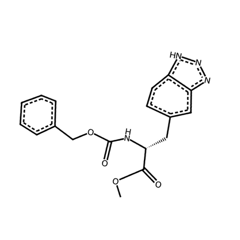 COC(=O)[C@@H](Cc1ccc2[nH]nnc2c1)NC(=O)OCc1ccccc1